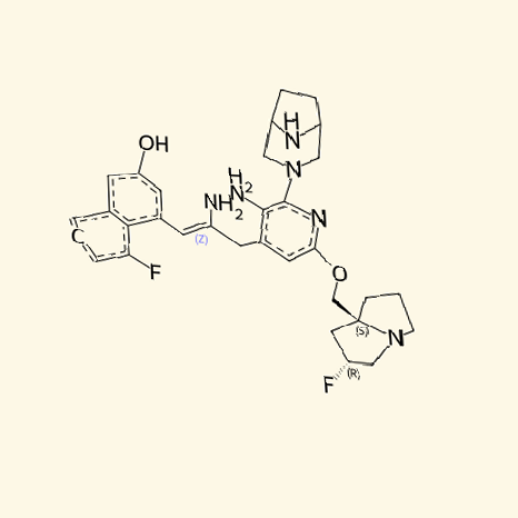 N/C(=C\c1cc(O)cc2cccc(F)c12)Cc1cc(OC[C@@]23CCCN2C[C@H](F)C3)nc(N2CC3CCC(C2)N3)c1N